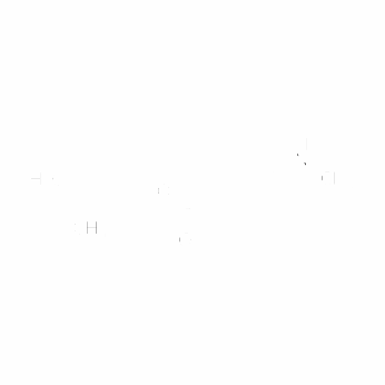 CNc1ccc(C(=O)OCCC(C)C)cc1